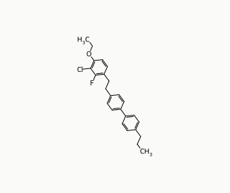 CCCc1ccc(-c2ccc(CCc3ccc(OCC)c(Cl)c3F)cc2)cc1